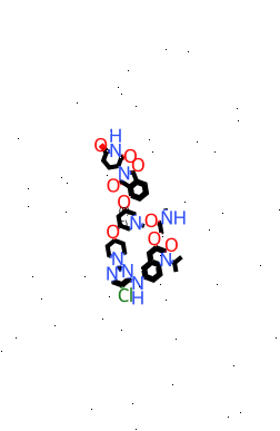 CNC(=O)COc1cc2cc(Nc3nc(N4CCC(O[C@H]5C[C@H](Oc6cccc7c6C(=O)N(C6CCC(=O)NC6=O)C7=O)CN(C)C5)CC4)ncc3Cl)ccc2n(C(C)C)c1=O